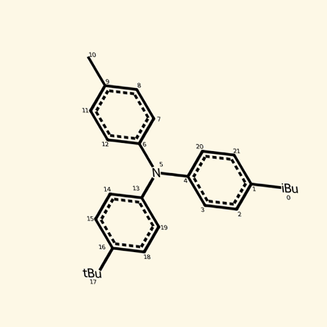 CCC(C)c1ccc(N(c2ccc(C)cc2)c2ccc(C(C)(C)C)cc2)cc1